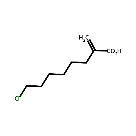 C=C(CCCCCCCl)C(=O)O